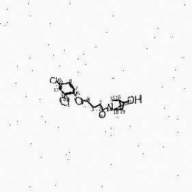 O=C(CCCOc1ccc(Cl)cc1Cl)N1CC2CC1CC2O